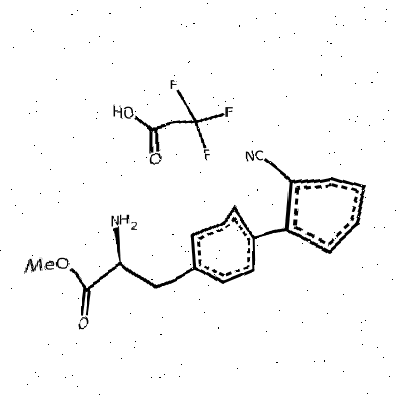 COC(=O)[C@@H](N)Cc1ccc(-c2ccccc2C#N)cc1.O=C(O)C(F)(F)F